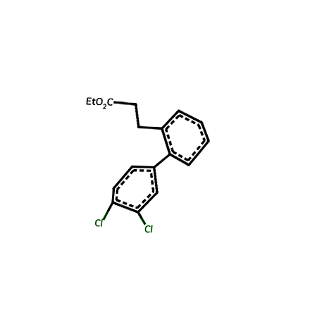 CCOC(=O)CCc1ccccc1-c1ccc(Cl)c(Cl)c1